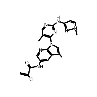 C=C(Cl)C(=O)Nc1cnc2c(c1)c(C)cn2-c1nc(Nc2ccn(C)n2)ncc1C